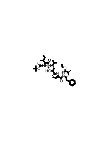 CCOC(=O)[C@@H](C)C[C@H](Cc1ccccc1)NC(=O)c1csc(C(O)C[C@H](C(C)C)N(C)C(=O)[C@@H](NC(=O)OC(C)(C)C)[C@@H](C)CC)n1